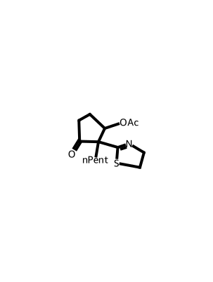 CCCCCC1(C2=NCCS2)C(=O)CCC1OC(C)=O